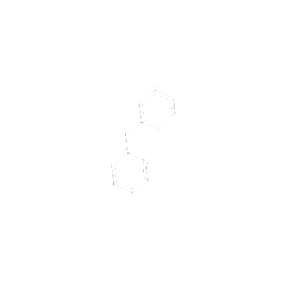 C[C@H](c1ccccc1)c1ccccn1